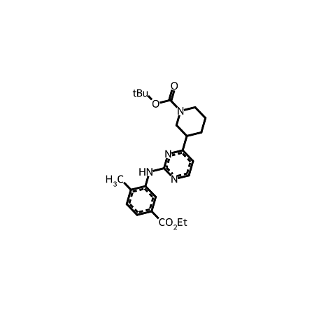 CCOC(=O)c1ccc(C)c(Nc2nccc(C3CCCN(C(=O)OC(C)(C)C)C3)n2)c1